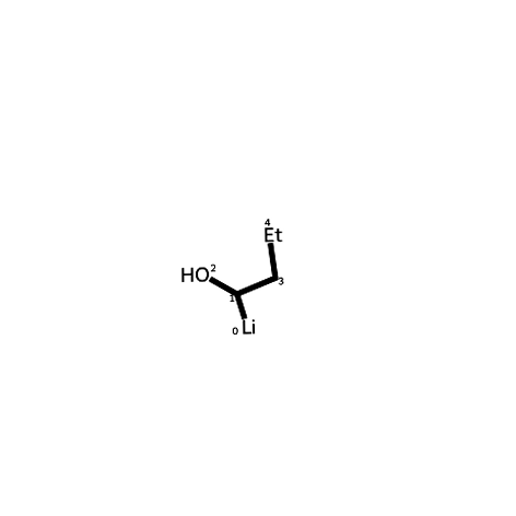 [Li][CH](O)CCC